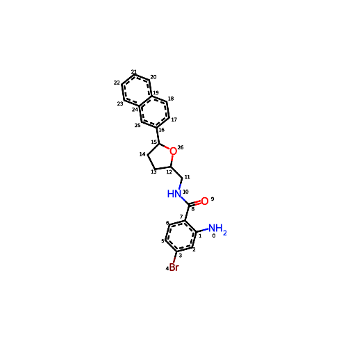 Nc1cc(Br)ccc1C(=O)NCC1CCC(c2ccc3ccccc3c2)O1